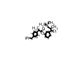 CCC(c1cccc(OC(=O)C(C)c2ccc(CC(C)C)cc2)c1)C(C)CN(C)C